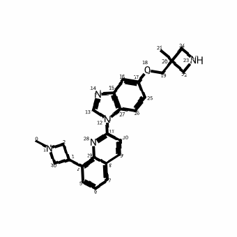 CN1CC(c2cccc3ccc(-n4cnc5cc(OCC6(C)CNC6)ccc54)nc23)C1